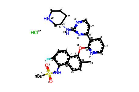 CCCCS(=O)(=O)Nc1c(F)ccc2c(Oc3ncccc3-c3ccnc(N[C@H]4CCCNC4)n3)c(C)ccc12.Cl